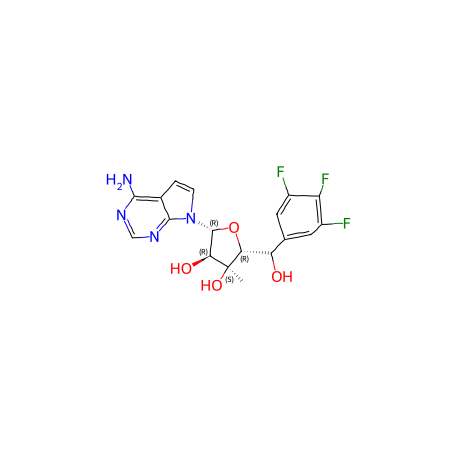 C[C@@]1(O)[C@@H](C(O)c2cc(F)c(F)c(F)c2)O[C@@H](n2ccc3c(N)ncnc32)[C@@H]1O